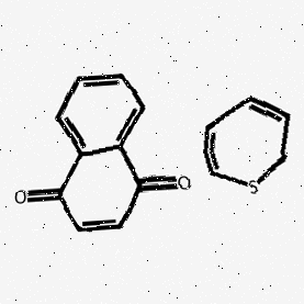 C1=CCSC=C1.O=C1C=CC(=O)c2ccccc21